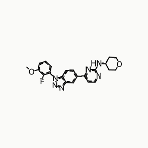 COc1cccc(-n2nnc3cc(-c4ccnc(NC5CCOCC5)n4)ccc32)c1F